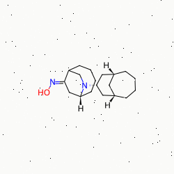 O/N=C1\C[C@H]2CCCCC1CN2[C@@H]1C[C@@H]2CCCC[C@@H](C2)C1